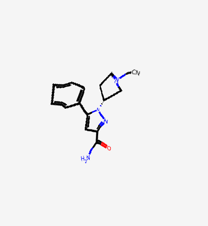 N#CN1CC[C@@H](n2nc(C(N)=O)cc2-c2ccccc2)C1